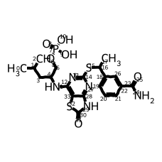 CC(C)CC(COP(=O)(O)O)Nc1nc(SC(C)c2cccc(C(N)=O)c2)nc2[nH]c(=O)sc12